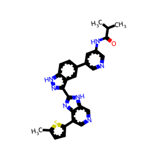 Cc1ccc(-c2cncc3[nH]c(-c4n[nH]c5ccc(-c6cncc(NC(=O)C(C)C)c6)cc45)nc23)s1